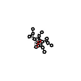 c1ccc(-c2ccc3c(c2)c2ccccc2n3-c2ccc(-c3nc(-c4ccccc4)nc(-c4ccc(-n5c6ccccc6c6cc(-c7ccccc7)ccc65)cc4-n4c5ccccc5c5cc(-c6ccccc6)ccc54)n3)c(-n3c4ccccc4c4cc(-c5ccccc5)ccc43)c2)cc1